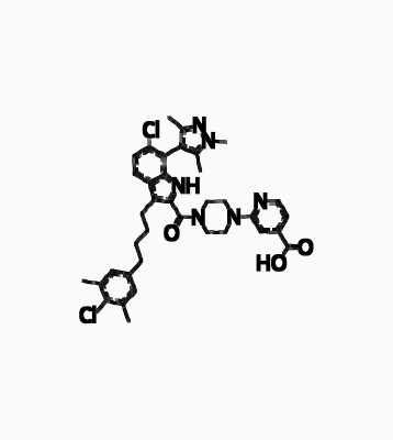 Cc1cc(CCCCc2c(C(=O)N3CCN(c4cc(C(=O)O)ccn4)CC3)[nH]c3c(-c4c(C)nn(C)c4C)c(Cl)ccc23)cc(C)c1Cl